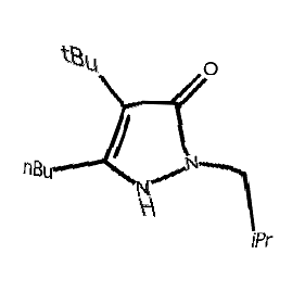 CCCCc1[nH]n(CC(C)C)c(=O)c1C(C)(C)C